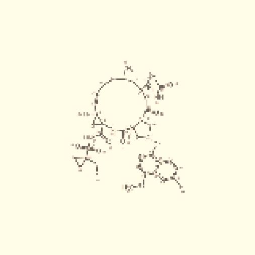 COc1cnc(O[C@@H]2C[C@H]3C(=O)N[C@]4(C(=O)NS(=O)(=O)C5(CF)CC5)C[C@H]4/C=C\CC[C@@H](C)C[C@@H](C)[C@H](NC(=O)O)C(=O)N3C2)c2ccc(F)cc12